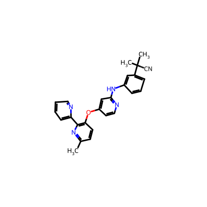 Cc1ccc(Oc2ccnc(Nc3cccc(C(C)(C)C#N)c3)c2)c(-c2ccccn2)n1